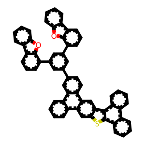 c1ccc2c(c1)oc1c(-c3cc(-c4ccc5c(c4)c4ccccc4c4cc6sc7c8ccccc8c8ccccc8c7c6cc54)cc(-c4cccc5c4oc4ccccc45)c3)cccc12